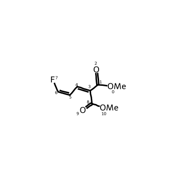 COC(=O)C(=C/C=C\F)C(=O)OC